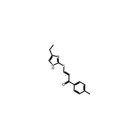 CCc1c[nH]c(S/C=C/C(=O)c2ccc(C)cc2)n1